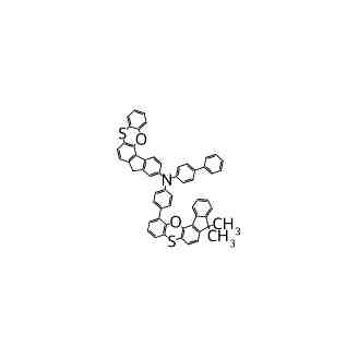 CC1(C)c2ccccc2-c2c1ccc1c2Oc2c(cccc2-c2ccc(N(c3ccc(-c4ccccc4)cc3)c3ccc4c(c3)Cc3ccc5c(c3-4)Oc3ccccc3S5)cc2)S1